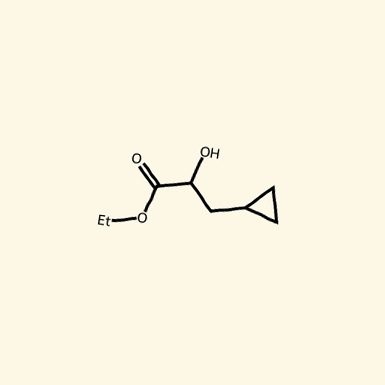 CCOC(=O)C(O)CC1CC1